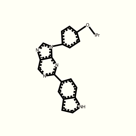 CC(C)Oc1ccc(-n2cnc3cnc(-c4ccc5[nH]ccc5c4)nc32)cc1